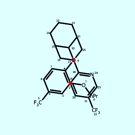 CCCOc1cc(C(F)(F)F)ccc1OC1C2CCCC1CN(c1ccc(C(F)(F)F)cn1)C2